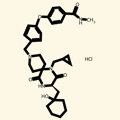 CNC(=O)c1ccc(Oc2ccc(CN3CCC4(CC3)C(=O)N[C@H](CC3(O)CCCCC3)C(=O)N4CC3CC3)cc2)cc1.Cl